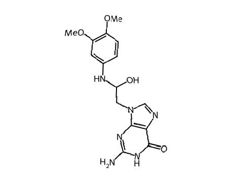 COc1ccc(NC(O)Cn2cnc3c(=O)[nH]c(N)nc32)cc1OC